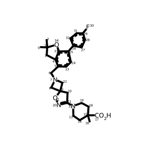 CC1(C)Cc2c(CN3CC4(CC(N5CCC(C)(C(=O)O)CC5)=NO4)C3)ccc(-c3ccc(F)cc3)c2O1